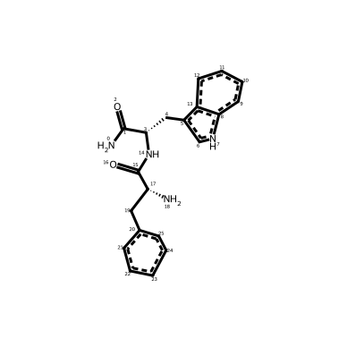 NC(=O)[C@H](Cc1c[nH]c2ccccc12)NC(=O)[C@H](N)Cc1ccccc1